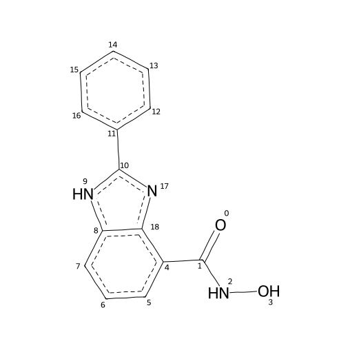 O=C(NO)c1cccc2[nH]c(-c3ccccc3)nc12